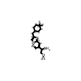 CCOCC(N)c1cnn2cc(CC3CCC(F)(F)CC3)nc2c1